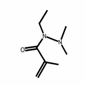 C=C(C)C(=O)N(CC)N(C)C